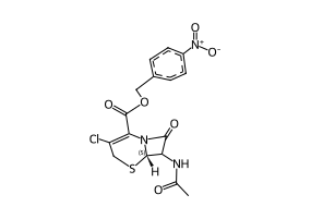 CC(=O)NC1C(=O)N2C(C(=O)OCc3ccc([N+](=O)[O-])cc3)=C(Cl)CS[C@@H]12